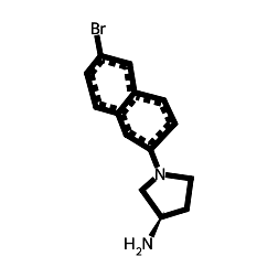 N[C@@H]1CCN(c2ccc3cc(Br)ccc3c2)C1